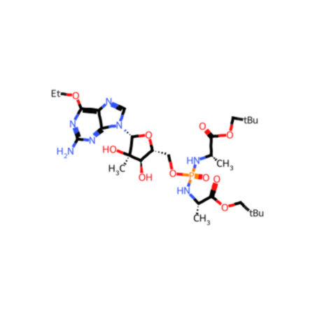 CCOc1nc(N)nc2c1ncn2[C@@H]1O[C@H](COP(=O)(N[C@@H](C)C(=O)OCC(C)(C)C)N[C@@H](C)C(=O)OCC(C)(C)C)[C@@H](O)[C@@]1(C)O